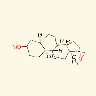 C[C@]12CC[C@@H](O)C[C@H]1CC[C@@H]1[C@@H]2CC[C@@]2(C)[C@H]1CC[C@@]21CO1